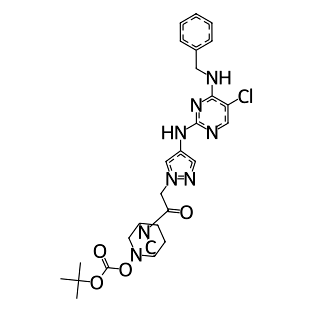 CC(C)(C)OC(=O)ON1CC2CCC1CN2C(=O)Cn1cc(Nc2ncc(Cl)c(NCc3ccccc3)n2)cn1